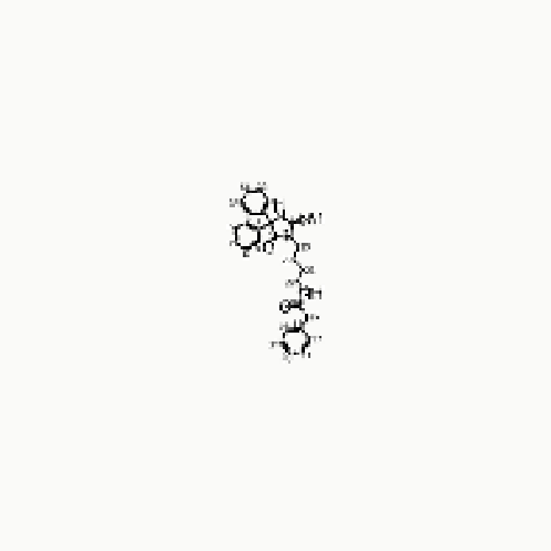 N=C1NC(c2ccccc2)(c2ccccc2)C(=O)N1CCCCNC(=O)Cc1ccccc1